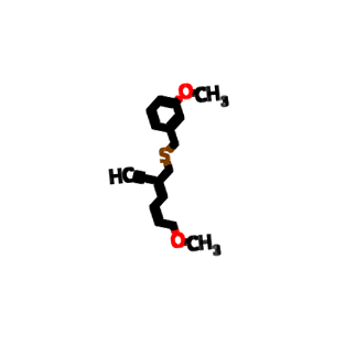 C#C/C(=C\C=C/COC)CSCc1cccc(OC)c1